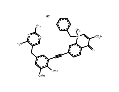 COc1cc(Cc2cnc(N)nc2N)cc(C#Cc2ccc3c(c2)[N+](C)(Cc2ccccc2)C=C(C(=O)O)C3=O)c1OC.Cl